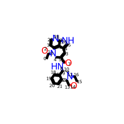 CC(=O)N1CC(C(=O)N[C@H](CN2CCOCC2)c2ccccc2)=Cc2c[nH]c3nccc1c23